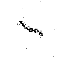 O=C(Cc1ccc(-c2cnc(Nc3cn[nH]c3)nc2)cc1F)Nc1cc(C2(C(F)(F)F)CC2)on1